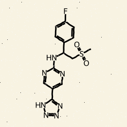 CS(=O)(=O)CC(Nc1ncc(-c2nnn[nH]2)cn1)c1ccc(F)cc1